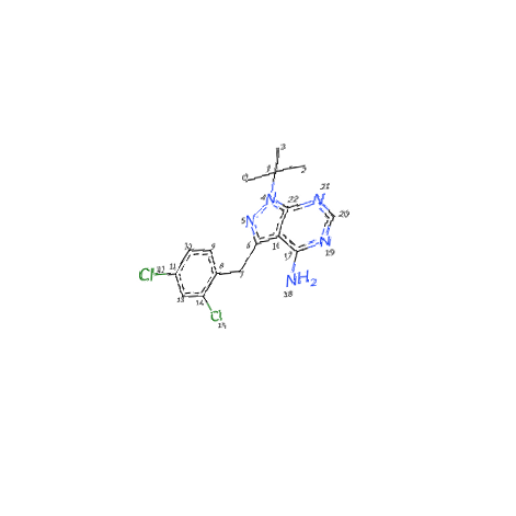 CC(C)(C)n1nc(Cc2ccc(Cl)cc2Cl)c2c(N)ncnc21